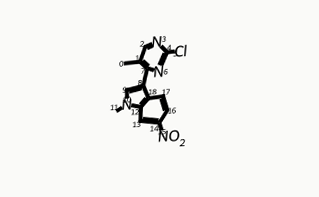 Cc1cnc(Cl)nc1-c1cn(C)c2cc([N+](=O)[O-])ccc12